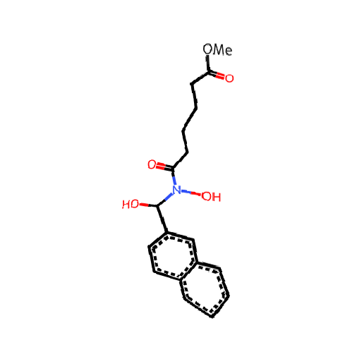 COC(=O)CCCCC(=O)N(O)C(O)c1ccc2ccccc2c1